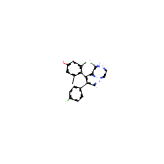 Cc1cc(O)cc(C)c1-c1c(-c2ccc(F)cc2)cn2ccnc(Cl)c12